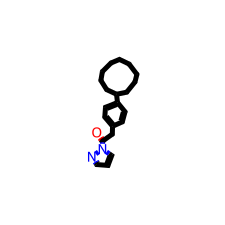 O=C(Cc1ccc(C2CCCCCCCCC2)cc1)n1cccn1